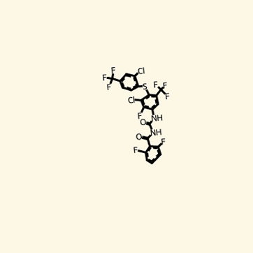 O=C(NC(=O)c1c(F)cccc1F)Nc1cc(C(F)(F)F)c(Sc2ccc(C(F)(F)F)cc2Cl)c(Cl)c1F